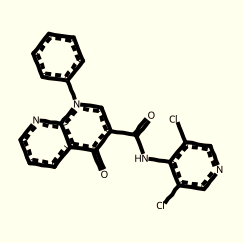 O=C(Nc1c(Cl)cncc1Cl)c1cn(-c2ccccc2)c2ncccc2c1=O